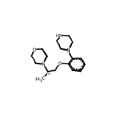 C[C@H](COc1ccccc1N1CCNCC1)N1CCOCC1